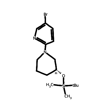 CC(C)(C)[Si](C)(C)O[C@@H]1CCCN(c2ccc(Br)cn2)C1